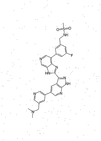 CN(C)Cc1cncc(-c2cnc3[nH]nc(-c4nc5c(-c6cc(F)cc(CNS(C)(=O)=O)c6)cncc5[nH]4)c3c2)c1